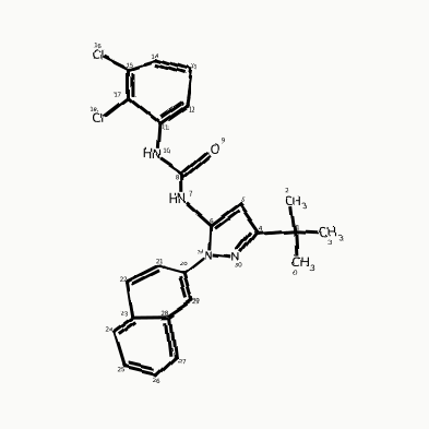 CC(C)(C)c1cc(NC(=O)Nc2cccc(Cl)c2Cl)n(-c2ccc3ccccc3c2)n1